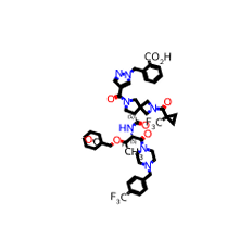 C[C@@H](OCC12CCC(CC1)OC2)[C@H](NC(=O)[C@@H]1CN(C(=O)c2cnn(Cc3ccccc3C(=O)O)c2)CC12CN(C(=O)C1(C(F)(F)F)CC1)C2)C(=O)N1CCN(Cc2ccc(C(F)(F)F)cc2)CC1